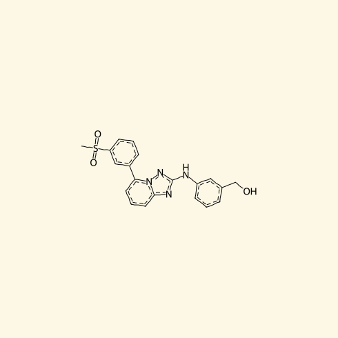 CS(=O)(=O)c1cccc(-c2cccc3nc(Nc4cccc(CO)c4)nn23)c1